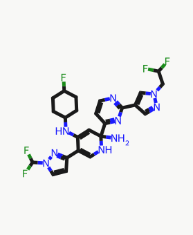 NC1(c2ccnc(-c3cnn(CC(F)F)c3)n2)C=C(NC2CCC(F)CC2)C(c2ccn(C(F)F)n2)=CN1